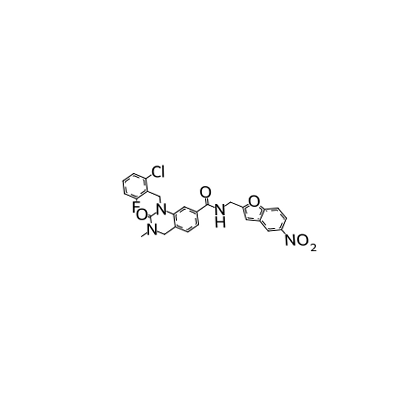 CN1Cc2ccc(C(=O)NCc3cc4cc([N+](=O)[O-])ccc4o3)cc2N(Cc2c(F)cccc2Cl)C1=O